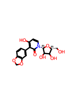 O=c1c(-c2ccc3c(c2)OCO3)c(O)ccn1[C@@H]1O[C@H](CO)C(O)C1O